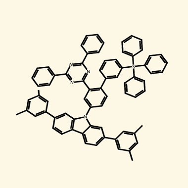 Cc1cc(C)cc(-c2ccc3c4ccc(-c5cc(C)cc(C)c5)cc4n(-c4ccc(-c5cccc(S(c6ccccc6)(c6ccccc6)c6ccccc6)c5)c(-c5nc(-c6ccccc6)nc(-c6ccccc6)n5)c4)c3c2)c1